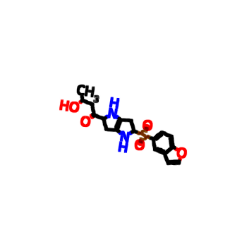 CC(O)CC(=O)C1CC2=C(CC(S(=O)(=O)c3ccc4occc4c3)N2)N1